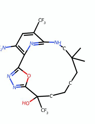 CC1(C)CCCCC(O)(C(F)(F)F)c2nnc(o2)-c2nc(c(C(F)(F)F)cc2N)NC1